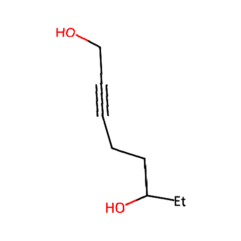 CCC(O)CCC#CCO